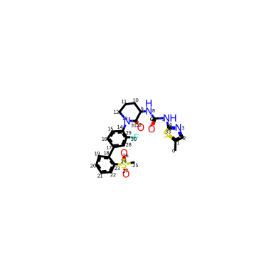 Cc1cnc(NC(=O)NC2CCCN(c3ccc(-c4ccccc4S(C)(=O)=O)cc3F)C2=O)s1